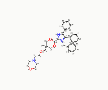 CC1(COCCN2CCOCC2)COC(c2nc(-c3ccccc3)c(-c3ccccc3)n2Cc2ccccc2)OC1